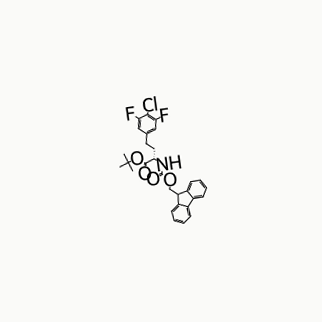 CC(C)(C)OC(=O)[C@H](CCc1cc(F)c(Cl)c(F)c1)NC(=O)OCC1c2ccccc2-c2ccccc21